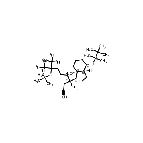 [2H]C([2H])([2H])C(CCC[C@@](C)(CC#C)[C@H]1CC[C@H]2[C@@H](O[Si](C)(C)C(C)(C)C)CCC[C@]12C)(O[Si](C)(C)C)C([2H])([2H])[2H]